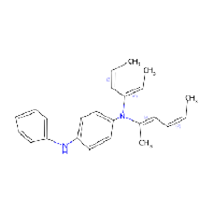 C/C=C\C=C(/C)N(C(/C=C\C)=C/C)c1ccc(Nc2ccccc2)cc1